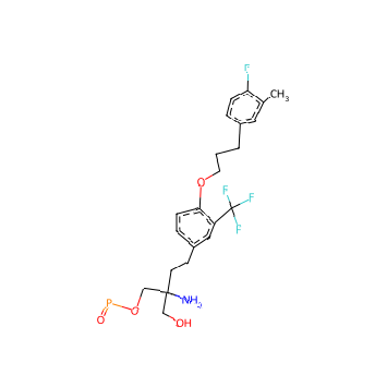 Cc1cc(CCCOc2ccc(CCC(N)(CO)COP=O)cc2C(F)(F)F)ccc1F